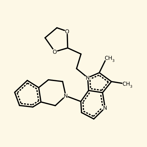 Cc1c(C)n(CCC2OCCO2)c2c(N3CCc4ccccc4C3)ccnc12